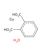 O.O=C(O)c1ccccc1C(=O)O.[Cu]